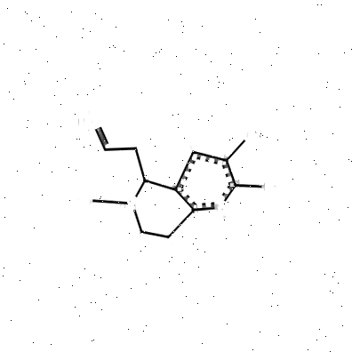 C=CCC1c2cc(C#N)c(I)nc2CCN1I